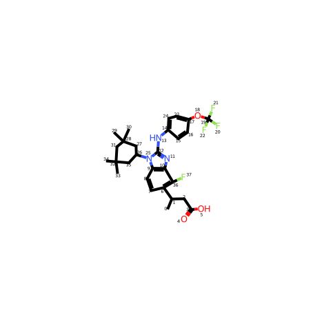 CC(CC(=O)O)c1ccc2c(nc(Nc3ccc(OC(F)(F)F)cc3)n2C2CC(C)(C)CC(C)(C)C2)c1F